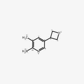 Cc1cc(C2COC2)cnc1N